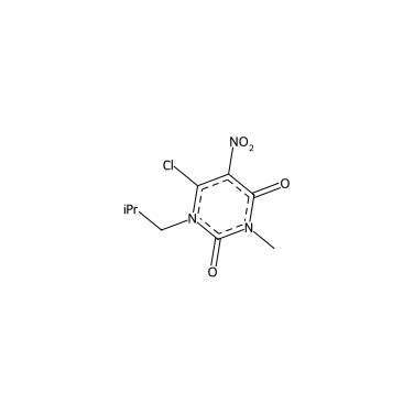 CC(C)Cn1c(Cl)c([N+](=O)[O-])c(=O)n(C)c1=O